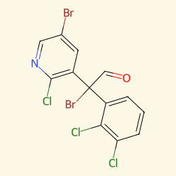 O=CC(Br)(c1cc(Br)cnc1Cl)c1cccc(Cl)c1Cl